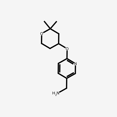 CC1(C)CC(Oc2ccc(CN)cn2)CCO1